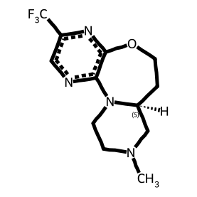 CN1CCN2c3ncc(C(F)(F)F)nc3OCC[C@H]2C1